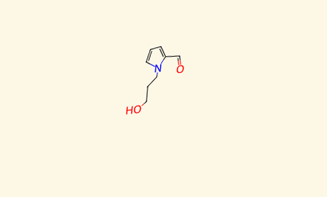 O=Cc1cccn1CCCO